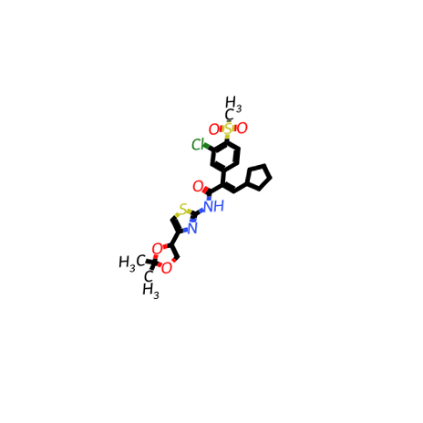 CC1(C)OCC(c2csc(NC(=O)/C(=C/C3CCCC3)c3ccc(S(C)(=O)=O)c(Cl)c3)n2)O1